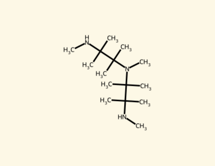 CNC(C)(C)C(C)(C)N(C)C(C)(C)C(C)(C)NC